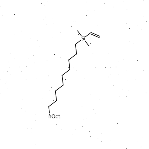 C=C[Si](C)(C)CCCCCCCCCCCCCCCCC